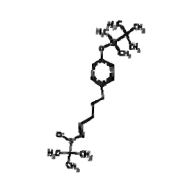 CC(C)(C)[S+]([O-])N=CCCCc1ccc(O[Si](C)(C)C(C)(C)C)cc1